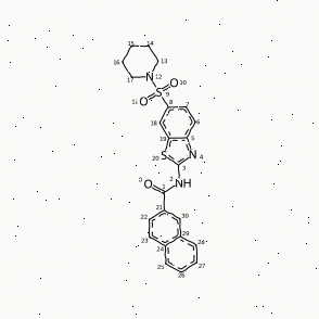 O=C(Nc1nc2ccc(S(=O)(=O)N3CCCCC3)cc2s1)c1ccc2ccccc2c1